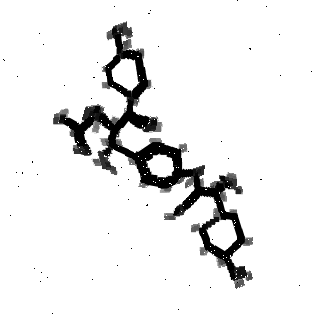 CCC(=O)N[C@@H](C(=O)N1CCN(C)CC1)[C@@H](C)c1ccc(NC(=O)[C@@H](N)[C@H]2CC[C@H](C)CC2)cc1